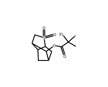 CCC(C)(I)C(=O)OC1C2CC3C1CS(=O)(=O)C3C2